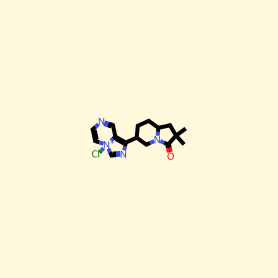 CC1(C)CC2CCC(C3=C4C=NC=C[N+]4(Cl)C=N3)CN2C1=O